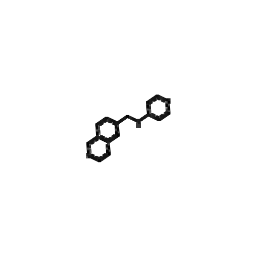 c1cc(NCc2ccc3cnccc3c2)ccn1